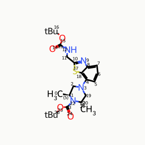 C[C@H]1CN(c2cccc3nc(CNC(=O)OC(C)(C)C)sc23)C[C@H](C)N1C(=O)OC(C)(C)C